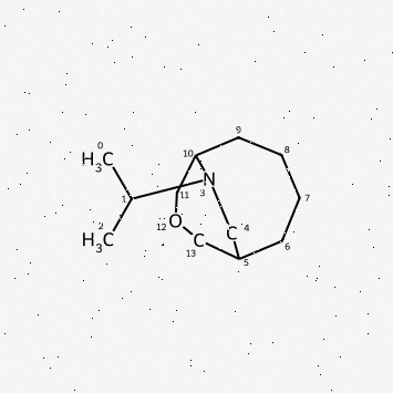 CC(C)N1CC2CCCCC1COC2